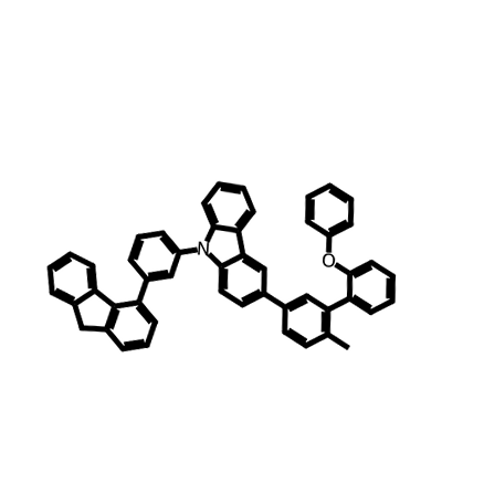 Cc1ccc(-c2ccc3c(c2)c2ccccc2n3-c2cccc(-c3cccc4c3-c3ccccc3C4)c2)cc1-c1ccccc1Oc1ccccc1